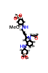 COc1cc(S(C)(=O)=O)ccc1NCC#Cc1cc2c(NC3CCS(=O)(=O)CC3)cccc2n1CC1CO1